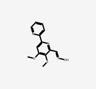 COc1cc(-c2ccccn2)nc(/C=N/O)c1SC